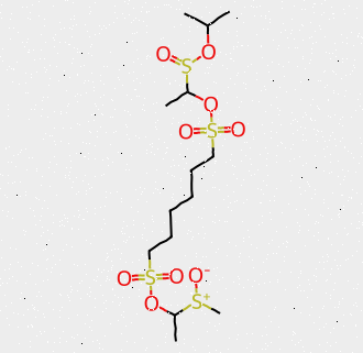 CC(C)OS(=O)C(C)OS(=O)(=O)CCCCCCS(=O)(=O)OC(C)[S+](C)[O-]